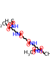 C=CCOC(=O)C(CCCCNC(=O)OCCCCOC(=O)NCCCCC(NC(=O)OC)C(=O)OCC=C)NC(=O)OC